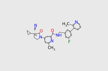 Cc1cc(N2CC[C@@](C#N)(C3CC3)C2=O)cc(C(=O)NCc2cc(F)cc(-c3cccnc3C)c2)n1